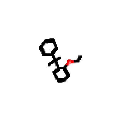 C[CH]Oc1ccccc1C(C)(C)c1ccccc1